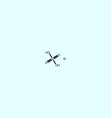 O=S(=O)(O)O.[Si]